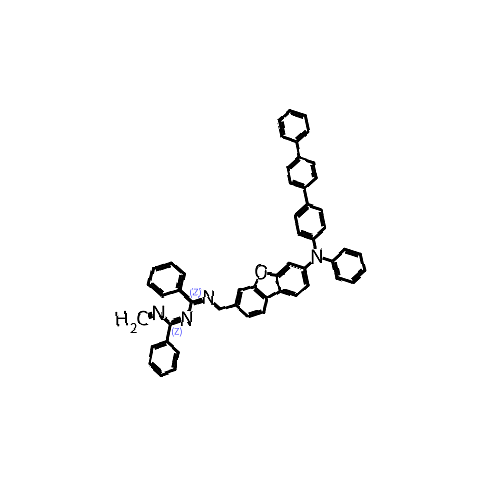 C=N/C(=N\C(=N/Cc1ccc2c(c1)oc1cc(N(c3ccccc3)c3ccc(-c4ccc(-c5ccccc5)cc4)cc3)ccc12)c1ccccc1)c1ccccc1